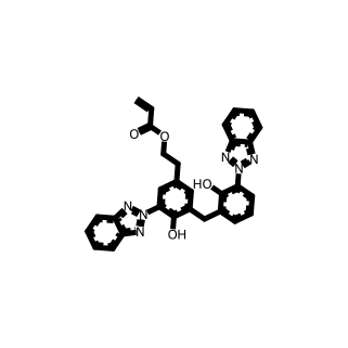 C=CC(=O)OCCc1cc(Cc2cccc(-n3nc4ccccc4n3)c2O)c(O)c(-n2nc3ccccc3n2)c1